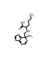 CCCCC(NCC1(N)N=CN=C2N=CN=C21)C(=O)O